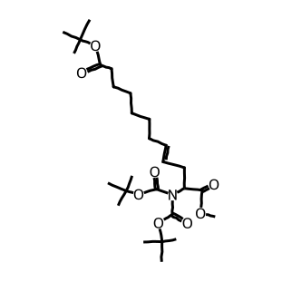 COC(=O)C(CC=CCCCCCCC(=O)OC(C)(C)C)N(C(=O)OC(C)(C)C)C(=O)OC(C)(C)C